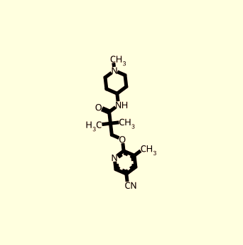 Cc1cc(C#N)cnc1OCC(C)(C)C(=O)NC1CCN(C)CC1